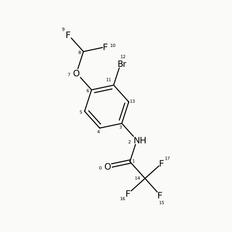 O=C(Nc1ccc(OC(F)F)c(Br)c1)C(F)(F)F